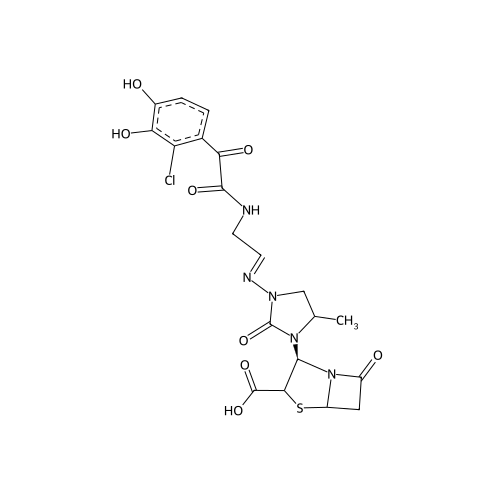 CC1CN(/N=C/CNC(=O)C(=O)c2ccc(O)c(O)c2Cl)C(=O)N1[C@@H]1C(C(=O)O)SC2CC(=O)N21